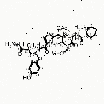 CCC(C)[C@H](NC(=O)[C@H]1CCCCN1C)C(=O)N(COC)[C@H](C[C@@H](OC(C)=O)c1nc(C(=O)N[C@@H](Cc2ccc(O)cc2)C[C@H](C)C(=O)NN)cs1)C(C)C